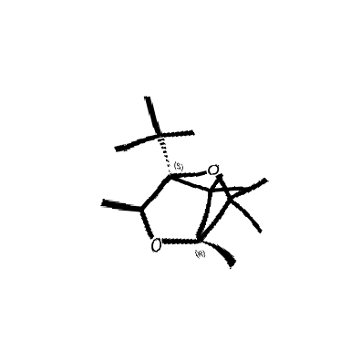 CC1O[C@@]2(C)C(C)(C)O[C@@]1(C(C)(C)C)C2(C)C